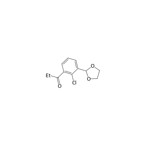 CCC(=O)c1cccc(C2OCCO2)c1Cl